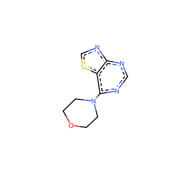 c1nc(N2CCOCC2)c2scnc2n1